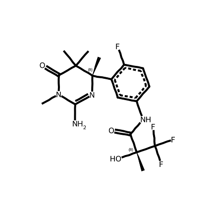 CN1C(=O)C(C)(C)[C@](C)(c2cc(NC(=O)[C@@](C)(O)C(F)(F)F)ccc2F)N=C1N